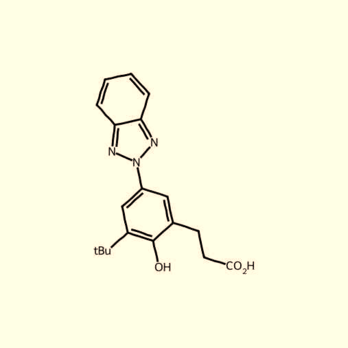 CC(C)(C)c1cc(-n2nc3ccccc3n2)cc(CCC(=O)O)c1O